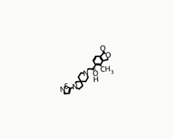 Cc1c([C@@H](O)CN2CCC3(CC2)CCN(c2ccns2)C3)ccc2c1COC2=O